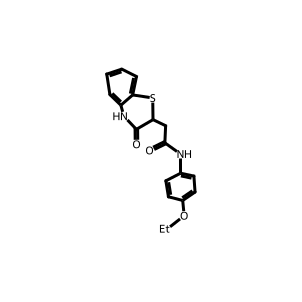 CCOc1ccc(NC(=O)CC2Sc3ccccc3NC2=O)cc1